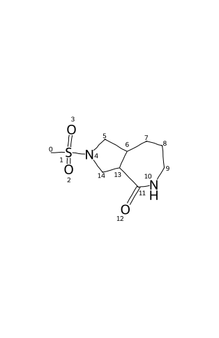 CS(=O)(=O)N1CC2CCCNC(=O)C2C1